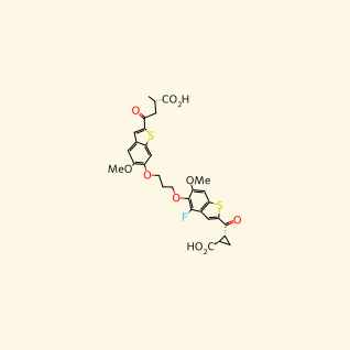 COc1cc2cc(C(=O)C[C@H](C)C(=O)O)sc2cc1OCCCOc1c(OC)cc2sc(C(=O)[C@@H]3C[C@H]3C(=O)O)cc2c1F